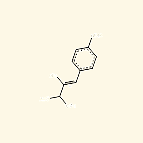 CCCCCCCCCCc1ccc(/C=C(\CCC)C(OC(C)=O)OC(C)=O)cc1